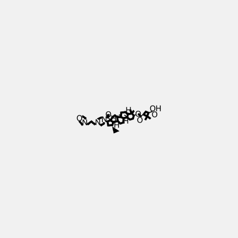 CC1(C)[C@@H](C(=O)O[C@H]2CC[C@]3(C)[C@H]4CC[C@@H]5[C@H]6[C@H](C7CC7)CC[C@]6(C(=O)N6CCN(CCCN7CCOCC7)CC6)CC[C@@]5(C)[C@]4(C)CC[C@H]3C2(C)C)C[C@H]1C(=O)O